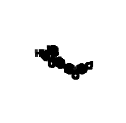 O=C(c1ccc(Cl)cc1)N1CCC(c2ccc(N(C(=O)[C@H]3CCNC3)c3cccnn3)cc2)CC1